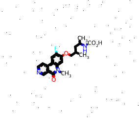 CC(COc1cc2c(cc1F)c1ccncc1c(=O)n2C)CC(C)NC(=O)O